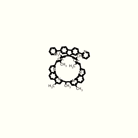 Cc1cc2c(C)cc1-c1ccc3ccc4c(C)cc(nc4c3n1)C(C)c1cc(C)c3ccc4ccc(nc4c3n1)-c1cc(C)c(cc1C)C21c2cc(-c3ccccn3)ccc2-c2ccc(-c3ccccn3)cc21